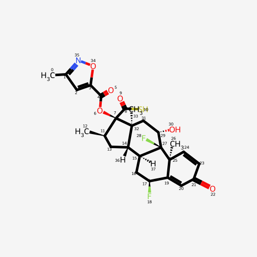 Cc1cc(C(=O)O[C@]2(C(=O)S)[C@H](C)C[C@H]3[C@@H]4C[C@H](F)C5=CC(=O)C=C[C@]5(C)[C@@]4(F)[C@@H](O)C[C@@]32C)on1